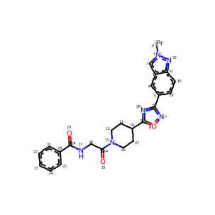 CC(C)n1cc2cc(-c3noc(C4CCN(C(=O)CNC(=O)c5ccccc5)CC4)n3)ccc2n1